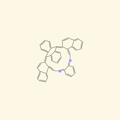 c1ccc2c(c1)ccc1c2cnc2ccccc2ncc2c3ccccc3ccc2c2c3ccccc3c1c1ccccc12